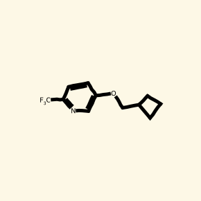 FC(F)(F)c1ccc(OCC2CCC2)cn1